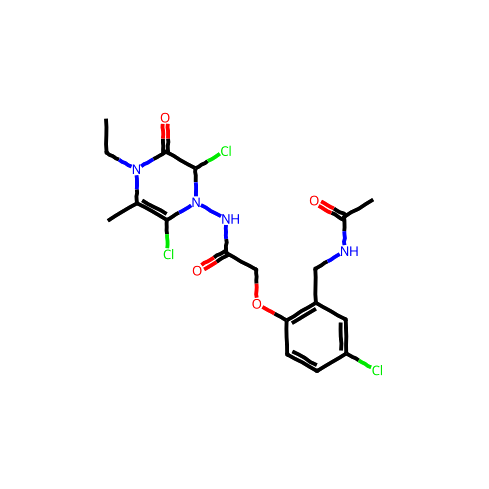 CCN1C(=O)C(Cl)N(NC(=O)COc2ccc(Cl)cc2CNC(C)=O)C(Cl)=C1C